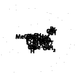 COc1cc2cc(c1Cl)N(C)C(=O)C[C@H](OC(=O)[C@H](C)N(C)C(=O)c1ccc(NC(=O)[C@H](CCCNC(N)=O)NC(=O)[C@@H](NC(=O)CCCCCNC(=O)C(CBr)CBr)C(C)C)c(O)c1)[C@]1(C)O[C@H]1[C@H](C)[C@@H]1C[C@@](O)(NC(=O)O1)[C@H](OC)/C=C/C=C(\C)C2